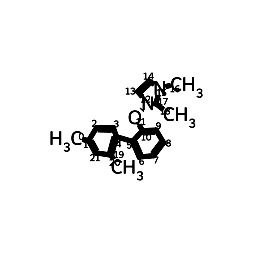 Cc1ccc(-c2ccccc2ON2C=CN(C)C2C)c(C)c1